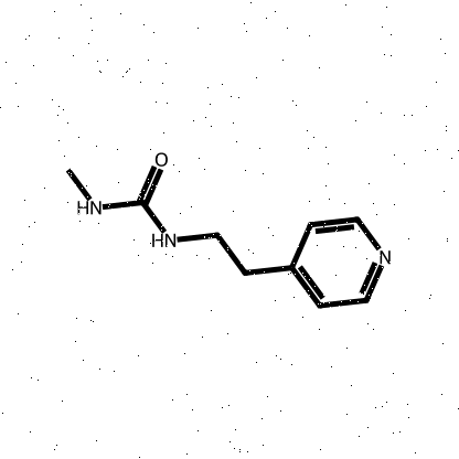 CNC(=O)NCCc1ccncc1